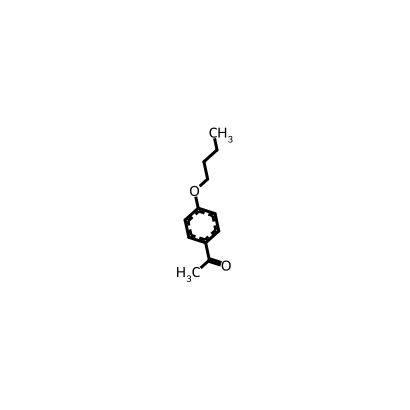 CCCCOc1ccc(C(C)=O)cc1